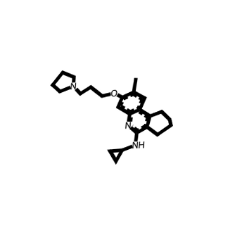 Cc1cc2c3c(c(NC4CC4)nc2cc1OCCCN1CCCC1)CCCC3